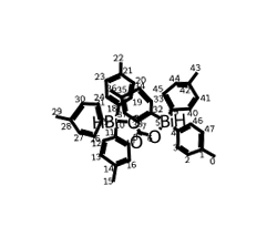 Cc1cc[c]([BiH]([O]C(=O)[O][BiH]([c]2ccc(C)cc2)([c]2ccc(C)cc2)[c]2ccc(C)cc2)([c]2ccc(C)cc2)[c]2ccc(C)cc2)cc1